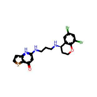 O=c1cc(NCCCN[C@@H]2CCOc3c(Br)cc(Br)cc32)[nH]c2ccsc12